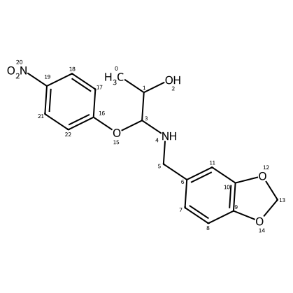 CC(O)C(NCc1ccc2c(c1)OCO2)Oc1ccc([N+](=O)[O-])cc1